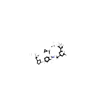 Cc1cc2cc(n1)-c1cnn(C)c1OCCC[C@@H](C1CC1)CN1/C(=N/C2=O)Nc2cc(N[C@H]3CCC(C=[N+](C)C)C3)ccc21